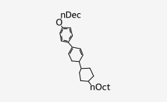 CCCCCCCCCCOc1ccc(C2=CCC(C3CCC(CCCCCCCC)CC3)C=C2)cc1